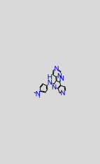 CN(C)c1ccc(Nc2nc3cnccc3c3nn4cnccc4c23)cc1